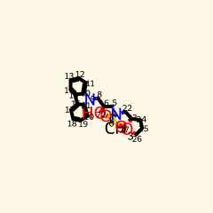 CS(=O)(=O)N(CC(O)Cn1c2ccccc2c2ccccc21)CC1CCCO1